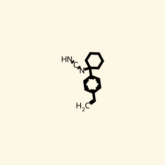 C=Cc1ccc(C2(N=C=N)CCCCC2)cc1